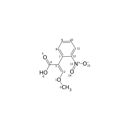 COC=C(C(=O)O)c1ccccc1[N+](=O)[O-]